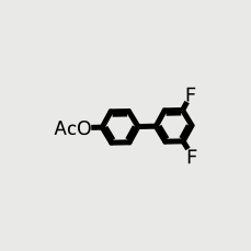 CC(=O)Oc1ccc(-c2cc(F)cc(F)c2)cc1